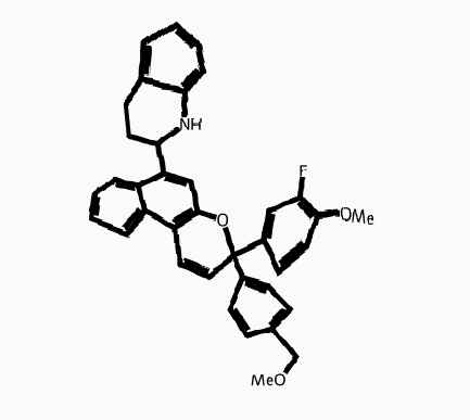 COCc1ccc(C2(c3ccc(OC)c(F)c3)C=Cc3c(cc(C4CCc5ccccc5N4)c4ccccc34)O2)cc1